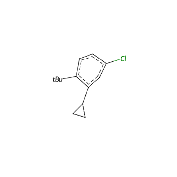 CC(C)(C)c1ccc(Cl)cc1C1CC1